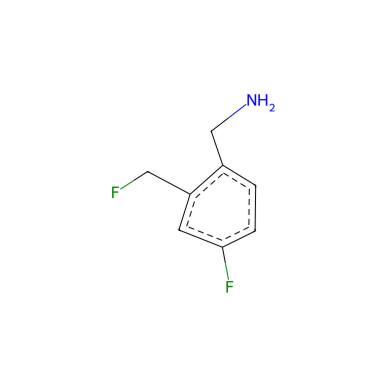 NCc1ccc(F)cc1CF